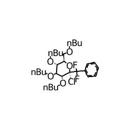 CCCCOC[C@H]1O[C@@](Cl)(C(F)(F)c2ccccc2)[C@H](OCCCC)[C@@H](OCCCC)[C@@H]1OCCCC